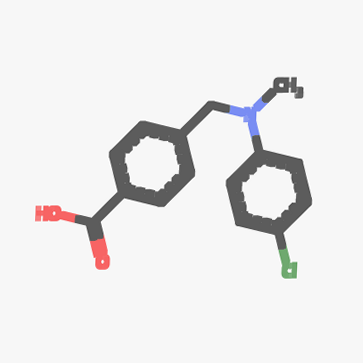 CN(Cc1ccc(C(=O)O)cc1)c1ccc(Cl)cc1